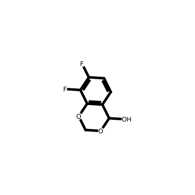 OC1OCOc2c1ccc(F)c2F